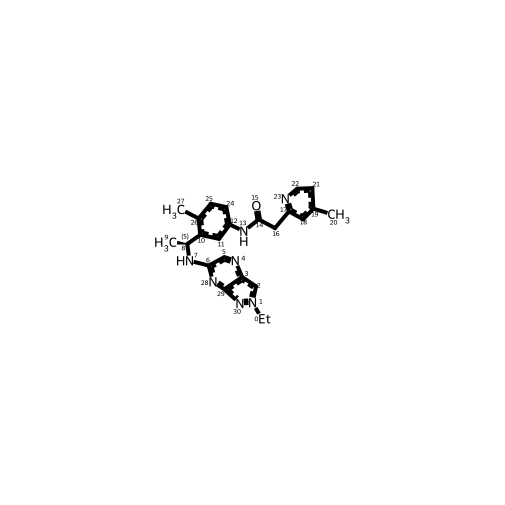 CCn1cc2ncc(N[C@@H](C)c3cc(NC(=O)Cc4cc(C)ccn4)ccc3C)nc2n1